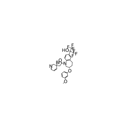 COc1cccc(O[C@H]2CCc3cc(C(O)(C(F)(F)F)C(F)(F)F)ccc3N(C(=O)CC3(Br)C=CC=NC3)C2)c1